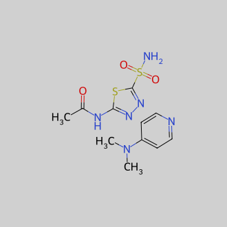 CC(=O)Nc1nnc(S(N)(=O)=O)s1.CN(C)c1ccncc1